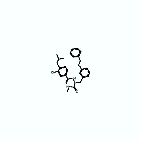 CNC(=O)N(Cc1cccc(OCc2ccccc2)c1)NC(=O)c1ccc(OC(C)C)c(Cl)c1